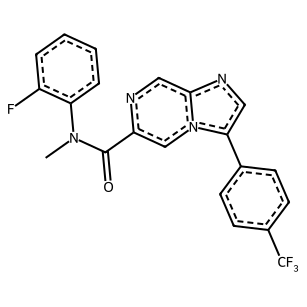 CN(C(=O)c1cn2c(-c3ccc(C(F)(F)F)cc3)cnc2cn1)c1ccccc1F